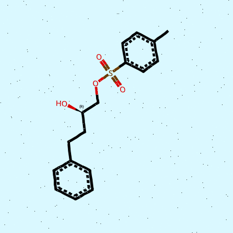 Cc1ccc(S(=O)(=O)OC[C@H](O)CCc2ccccc2)cc1